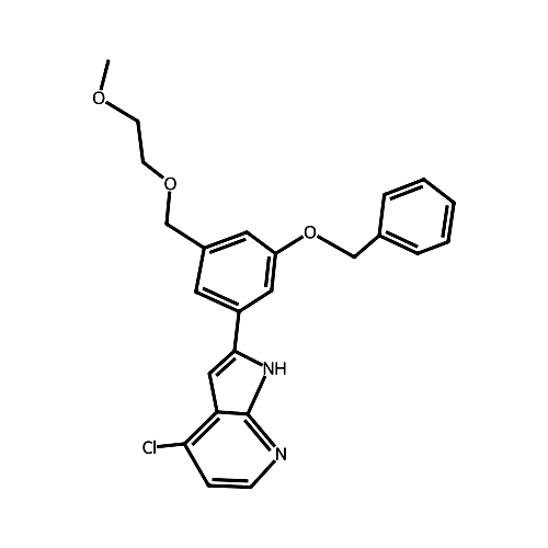 COCCOCc1cc(OCc2ccccc2)cc(-c2cc3c(Cl)ccnc3[nH]2)c1